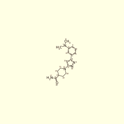 CN(C)c1cccc(-c2nnc(N3CCC(C(N)=O)CC3)s2)c1